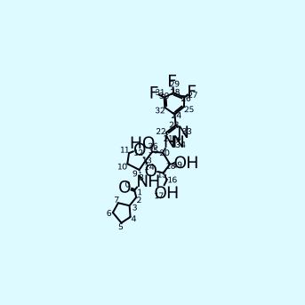 O=C(CC1CCCC1)N[C@@H]1CCO[C@]12O[C@H](CO)[C@H](O)[C@H](n1cc(-c3cc(F)c(F)c(F)c3)nn1)[C@H]2O